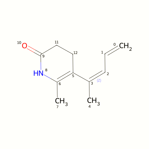 C=C/C=C(/C)C1=C(C)NC(=O)CC1